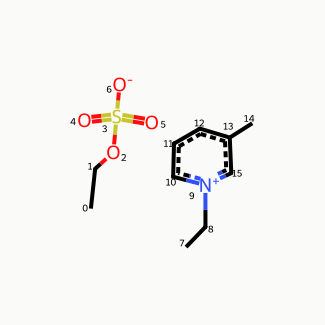 CCOS(=O)(=O)[O-].CC[n+]1cccc(C)c1